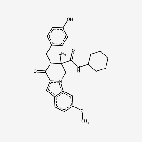 COc1ccc2cc3n(c2c1)CC(C)(C(=O)NC1CCCCC1)N(Cc1ccc(O)cc1)C3=O